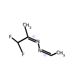 C/C=N\N=C(\C)C(F)F